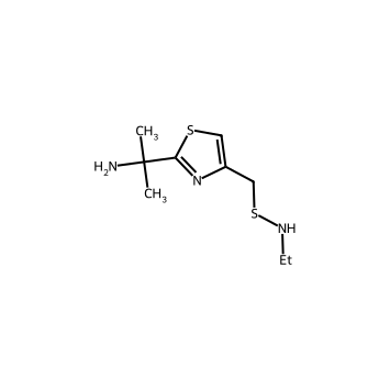 CCNSCc1csc(C(C)(C)N)n1